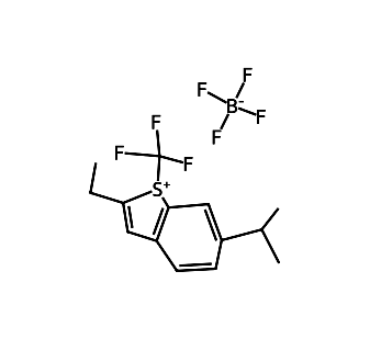 CCc1cc2ccc(C(C)C)cc2[s+]1C(F)(F)F.F[B-](F)(F)F